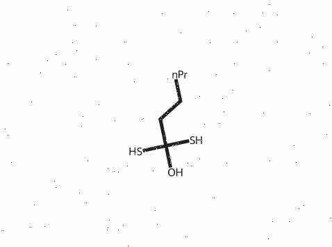 CCCCCC(O)(S)S